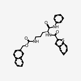 O=C(NCCC[C@H](NC(=O)c1cc2ccccc2s1)C(=O)Nc1[c]cccc1)OCc1ccc2ccccc2c1